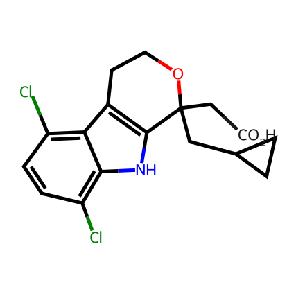 O=C(O)CC1(CC2CC2)OCCc2c1[nH]c1c(Cl)ccc(Cl)c21